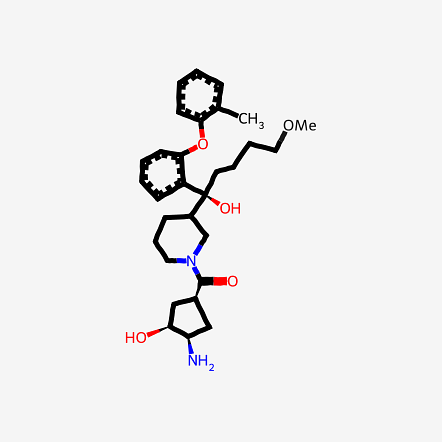 COCCCC[C@@](O)(c1ccccc1Oc1ccccc1C)C1CCCN(C(=O)[C@H]2C[C@@H](N)[C@@H](O)C2)C1